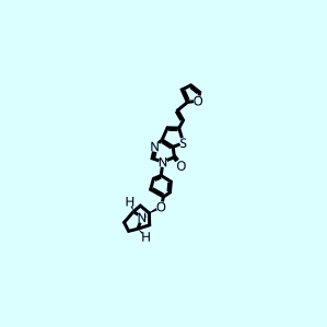 CN1[C@@H]2CC[C@H]1C[C@@H](Oc1ccc(-n3cnc4cc(/C=C/c5ccco5)sc4c3=O)cc1)C2